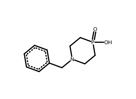 O=P1(O)CCN(Cc2ccccc2)CC1